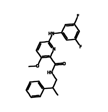 COc1ccc(Nc2cc(F)cc(F)c2)nc1C(=O)NCC(C)c1ccccc1